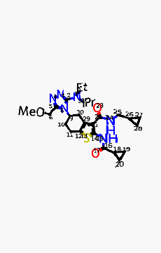 CCN(c1nnc(COC)n1C1CCc2sc(NC(=O)C3CC3)c(C(=O)NCC3CC3)c2C1)C(C)C